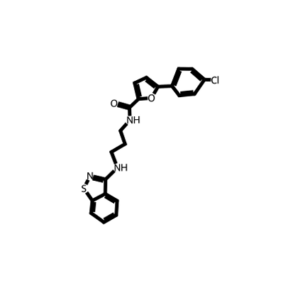 O=C(NCCCNc1nsc2ccccc12)c1ccc(-c2ccc(Cl)cc2)o1